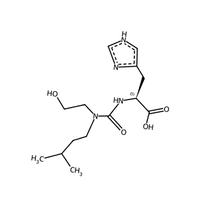 CC(C)CCN(CCO)C(=O)N[C@@H](Cc1c[nH]cn1)C(=O)O